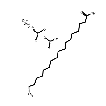 CCCCCCCCCCCCCCCCCC(=O)O.[O-]P([O-])[O-].[O-]P([O-])[O-].[Zn+2].[Zn+2].[Zn+2]